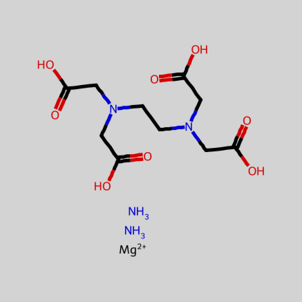 N.N.O=C(O)CN(CCN(CC(=O)O)CC(=O)O)CC(=O)O.[Mg+2]